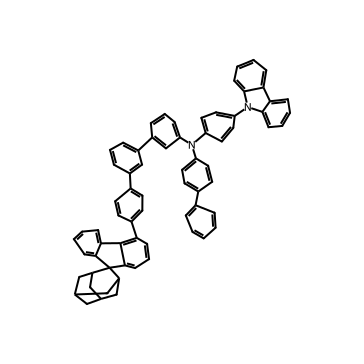 c1ccc(-c2ccc(N(c3ccc(-n4c5ccccc5c5ccccc54)cc3)c3cccc(-c4cccc(-c5ccc(-c6cccc7c6-c6ccccc6C76C7CC8CC(C7)CC6C8)cc5)c4)c3)cc2)cc1